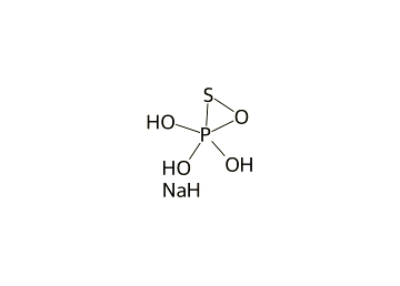 OP1(O)(O)OS1.[NaH]